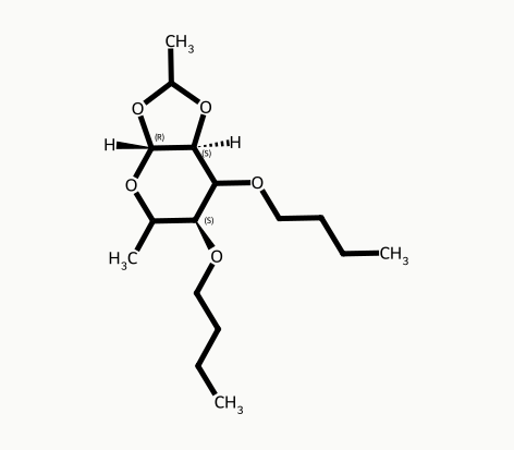 CCCCOC1[C@@H](OCCCC)C(C)O[C@@H]2OC(C)O[C@@H]12